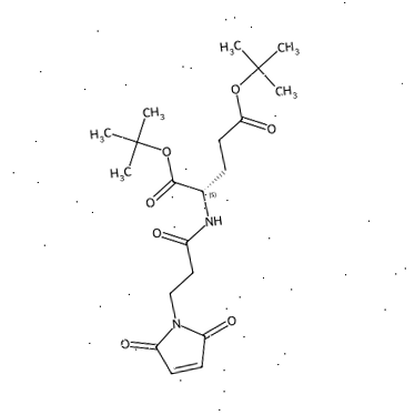 CC(C)(C)OC(=O)CC[C@H](NC(=O)CCN1C(=O)C=CC1=O)C(=O)OC(C)(C)C